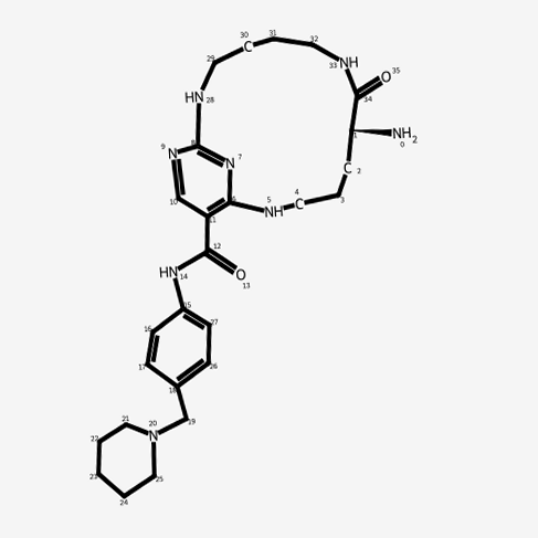 N[C@H]1CCCNc2nc(ncc2C(=O)Nc2ccc(CN3CCCCC3)cc2)NCCCCNC1=O